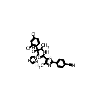 Cc1nc(-c2ccc(C#N)cc2)sc1C(=O)NC(C)C(O)(Cn1cncn1)c1ccc(Cl)cc1Cl